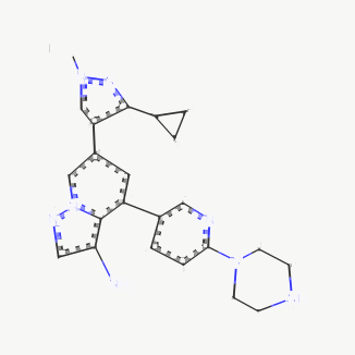 Cn1cc(-c2cc(-c3ccc(N4CCNCC4)nc3)c3c(N)cnn3c2)c(C2CC2)n1